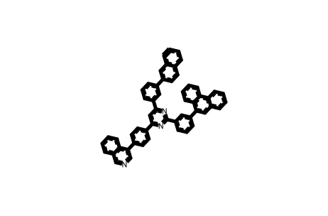 c1ccc2ccc(-c3cccc(-c4cc(-c5ccc(-c6cncc7ccccc67)cc5)nc(-c5cccc(-c6cc7ccccc7c7ccccc67)c5)n4)c3)cc2c#1